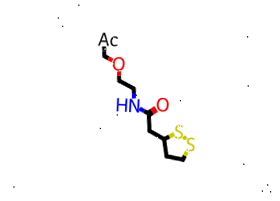 CC(=O)COCCNC(=O)CC1CCSS1